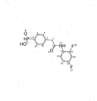 O=C(Cc1ccc([PH](=O)O)cc1)Nc1ccc(F)cc1F